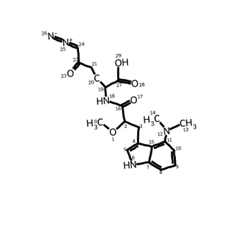 COC(Cc1c[nH]c2cccc(N(C)C)c12)C(=O)NC(CCC(=O)C=[N+]=[N-])C(=O)O